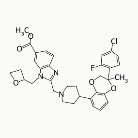 COC(=O)c1ccc2nc(CN3CCC(c4cccc5c4OCC(C)(c4ccc(Cl)cc4F)O5)CC3)n(CC3CCO3)c2c1